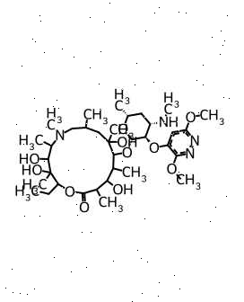 CCC1OC(=O)C(C)C(O)C(C)C(O[C@@H]2O[C@H](C)C[C@H](NC)[C@H]2Oc2cc(OC)nnc2OC)C(C)(O)CC(C)CN(C)C(C)C(O)C1(C)O